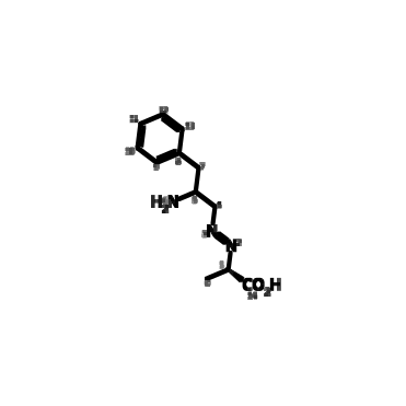 C[C@@H](N=NCC(N)Cc1ccccc1)C(=O)O